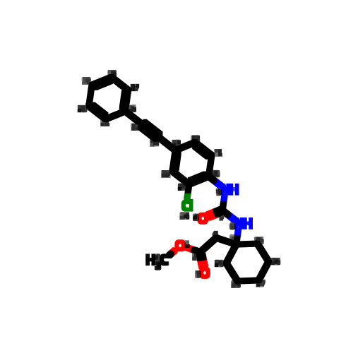 COC(=O)CC1(NC(=O)Nc2ccc(C#Cc3ccccc3)cc2Cl)CCCCC1